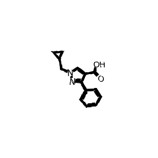 O=C(O)c1cn(CC2CC2)nc1-c1ccccc1